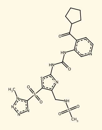 Cn1nnnc1S(=O)(=O)c1sc(NC(=O)Nc2cnccc2C(=O)C2CCCC2)nc1CNS(C)(=O)=O